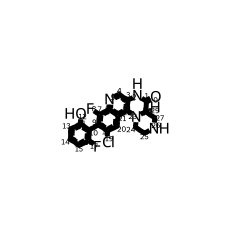 O=C1Nc2cnc3c(F)c(-c4c(O)cccc4F)c(Cl)cc3c2N2CCNC[C@H]12